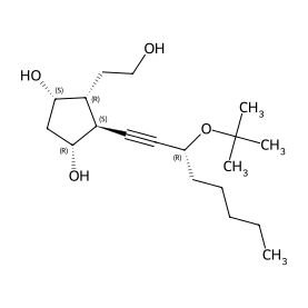 CCCCC[C@H](C#C[C@@H]1[C@@H](CCO)[C@@H](O)C[C@H]1O)OC(C)(C)C